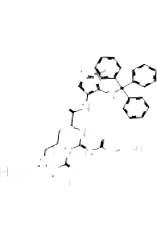 Cn1ncc(NC(=O)[C@H](CCCNC(=O)O)N/C(=N\C(=O)OC(C)(C)C)NC(=O)OC(C)(C)C)c1NC(c1ccccc1)(c1ccccc1)c1ccccc1